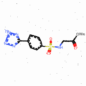 COC(=O)CNS(=O)(=O)c1ccc(-c2nn[nH]n2)cc1